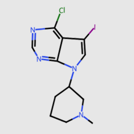 CN1CCCC(n2cc(I)c3c(Cl)ncnc32)C1